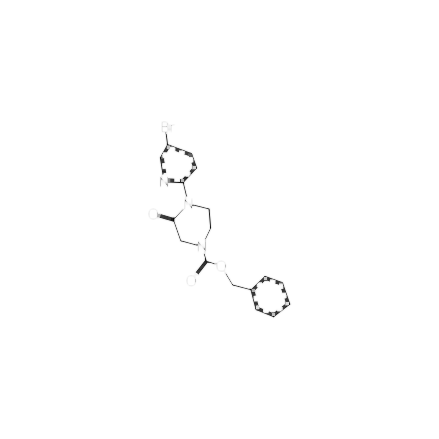 O=C(OCc1ccccc1)N1CCN(c2ccc(Br)cn2)C(=O)C1